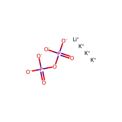 O=P([O-])([O-])OP(=O)([O-])[O-].[K+].[K+].[K+].[Li+]